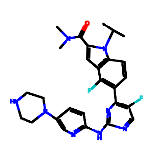 CC(C)n1c(C(=O)N(C)C)cc2c(F)c(-c3nc(Nc4ccc(N5CCNCC5)cn4)ncc3F)ccc21